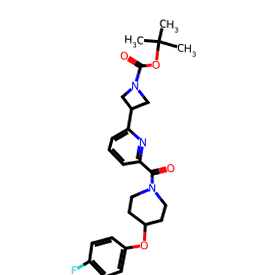 CC(C)(C)OC(=O)N1CC(c2cccc(C(=O)N3CCC(Oc4ccc(F)cc4)CC3)n2)C1